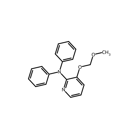 COCOc1cccnc1N(c1ccccc1)c1ccccc1